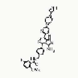 COc1ccc(F)cc1C(=O)NCc1ccc(-c2ncc(-c3ccc(N4CCN(C5CNC5)CC4)cn3)c3[nH]nc(N)c23)cc1